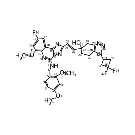 COc1ccc(CNc2nc3c(OC)cc(F)cc3c3nc(C=CC4(O)CCc5c(nnn5C5CC(F)(F)C5)C4)nn23)c(OC)c1